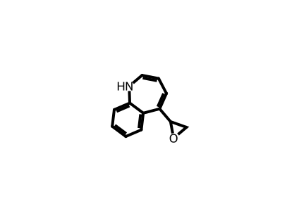 C1=CNc2ccccc2C(C2CO2)=C1